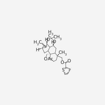 C=C1[C@H]2CC[C@@]34C(C2)[C@]2(COC(C)=O)CCC[C@@](C)(COC(=O)c5cccs5)C2C[C@H]3OC(C)(C)O[C@@H]14